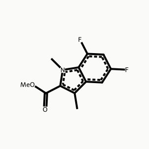 COC(=O)c1c(C)c2cc(F)cc(F)c2n1C